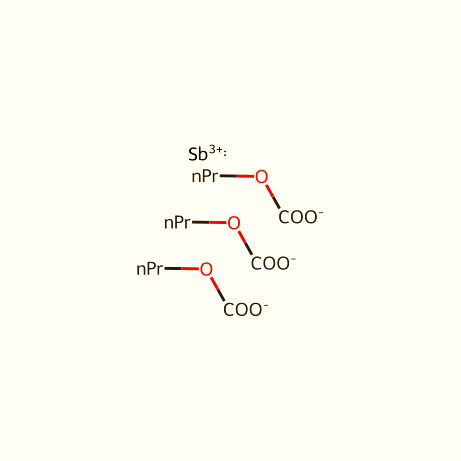 CCCOC(=O)[O-].CCCOC(=O)[O-].CCCOC(=O)[O-].[Sb+3]